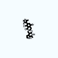 Cc1nnn(C)c1-c1cc(Br)c2c(c1Cl)C(=O)N(Cc1c(=O)[nH]c(C)c3[nH]ccc13)CC2